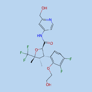 C[C@H]1[C@@H](c2ccc(F)c(F)c2OCCO)[C@H](C(=O)Nc2ccnc(CO)c2)O[C@@]1(C)C(F)(F)F